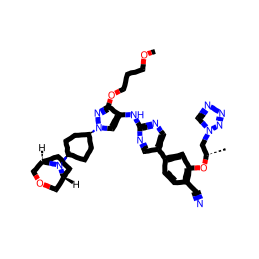 COCCCOc1nn([C@H]2CC[C@H](N3[C@@H]4CC[C@@H]3COC4)CC2)cc1Nc1ncc(-c2ccc(C#N)c(O[C@@H](C)Cn3cnnn3)c2)cn1